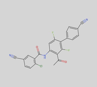 CC(=O)c1c(NC(=O)c2cc(C#N)ccc2Cl)cc(F)c(-c2ccc(C#N)cc2)c1F